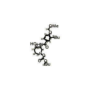 CCC(C)c1cc(C(=O)N[C@@H]2CN(OC(=O)OC(C)(C)C)CCC[C@H]2O)ccc1OCOC